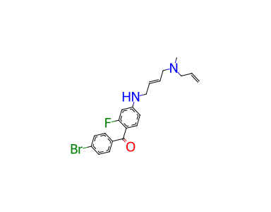 C=CCN(C)C/C=C/CNc1ccc(C(=O)c2ccc(Br)cc2)c(F)c1